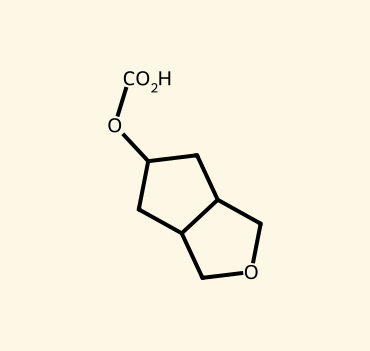 O=C(O)OC1CC2COCC2C1